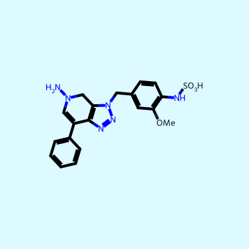 COc1cc(Cn2nnc3c2CN(N)C=C3c2ccccc2)ccc1NS(=O)(=O)O